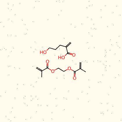 C=C(C)C(=O)OCCOC(=O)C(=C)C.C=C(CCCO)C(=O)O